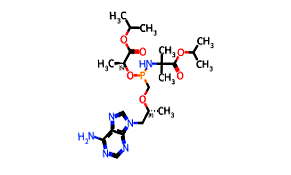 CC(C)OC(=O)[C@H](C)OP(CO[C@H](C)Cn1cnc2c(N)ncnc21)NC(C)(C)C(=O)OC(C)C